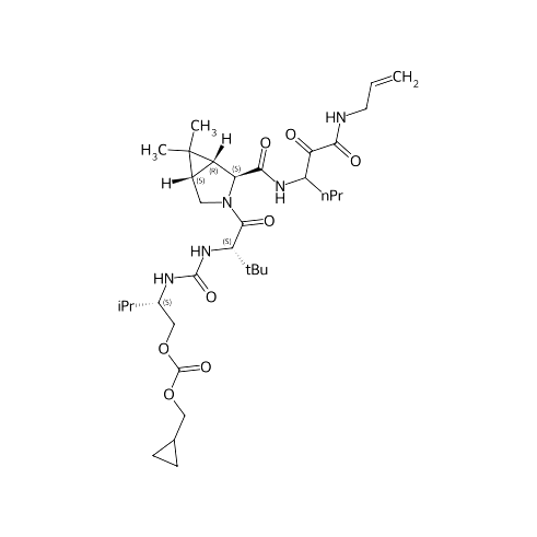 C=CCNC(=O)C(=O)C(CCC)NC(=O)[C@@H]1[C@@H]2[C@H](CN1C(=O)[C@@H](NC(=O)N[C@H](COC(=O)OCC1CC1)C(C)C)C(C)(C)C)C2(C)C